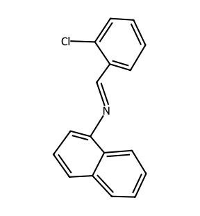 Clc1ccccc1/C=N/c1cccc2ccccc12